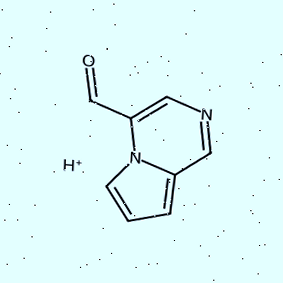 O=Cc1cncc2cccn12.[H+]